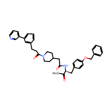 COC(=O)[C@H](Cc1ccc(OCc2ccccc2)cc1)NC(=O)CC1CCN(C(=O)CCc2cccc(-c3cccnc3)c2)CC1